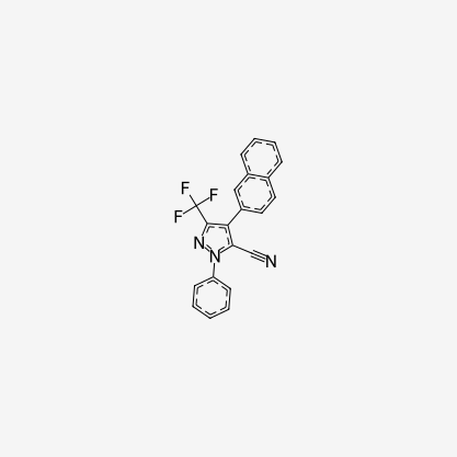 N#Cc1c(-c2ccc3ccccc3c2)c(C(F)(F)F)nn1-c1ccccc1